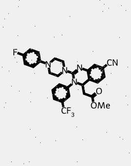 COC(=O)CC1c2ccc(C#N)cc2N=C(N2CCN(c3ccc(F)cc3)CC2)N1c1cccc(C(F)(F)F)c1